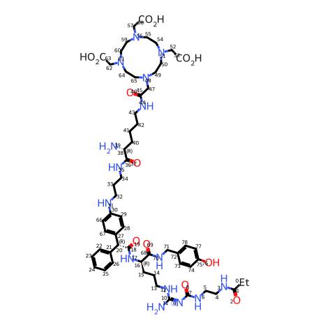 CCC(=O)NCCNC(=O)/N=C(/N)NCCC[C@@H](NC(=O)[C@H](c1ccccc1)c1ccc(NCCCNC(=O)[C@H](N)CCCCNC(=O)CN2CCN(CC(=O)O)CCN(CC(=O)O)CCN(CC(=O)O)CC2)cc1)C(=O)NCc1ccc(O)cc1